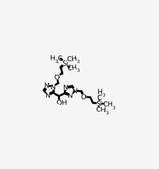 C[Si](C)(C)CCOCn1cnc(C(O)c2ncnn2COCC[Si](C)(C)C)n1